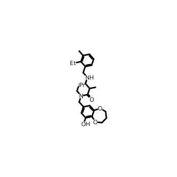 CCc1c(C)cccc1CNCC(C)C(=O)N(Cc1cc(O)c2c(c1)OCCCO2)CC(C)C